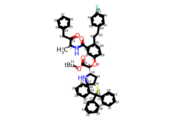 C[C@H](NC(=O)c1cc(OC(C(=O)OC(C)(C)C)[C@@H]2C[C@H](SC(c3ccccc3)(c3ccccc3)c3ccccc3)CN2)ccc1CCc1ccc(F)cc1)C(=O)Cc1ccccc1